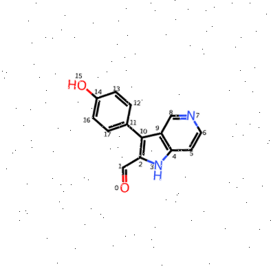 O=Cc1[nH]c2ccncc2c1-c1ccc(O)cc1